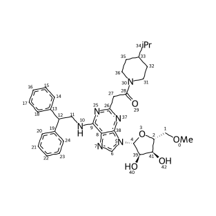 COC[C@H]1O[C@@H](n2cnc3c(NCC(c4ccccc4)c4ccccc4)nc(CC(=O)N4CCC(C(C)C)CC4)nc32)[C@H](O)[C@@H]1O